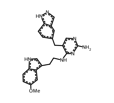 COc1ccc2[nH]cc(CCNc3nc(N)ncc3Cc3ccc4[nH]ncc4c3)c2c1